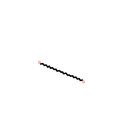 O=CCCCCCCCCCCCCCCCCCCCCCCCCC=O